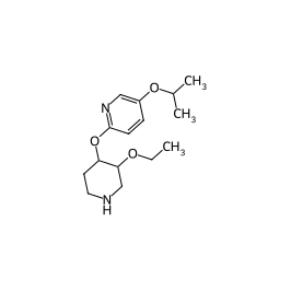 CCOC1CNCCC1Oc1ccc(OC(C)C)cn1